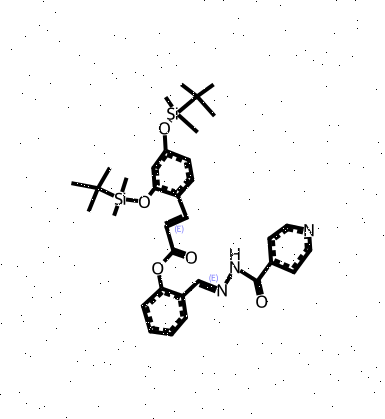 CC(C)(C)[Si](C)(C)Oc1ccc(/C=C/C(=O)Oc2ccccc2/C=N/NC(=O)c2ccncc2)c(O[Si](C)(C)C(C)(C)C)c1